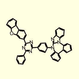 c1ccc(-c2nc(-c3ccc(N4c5ccccc5-c5ccccc5-n5c4nc4ccccc45)cc3)nc(-c3ccc4c(c3)oc3ccccc34)n2)cc1